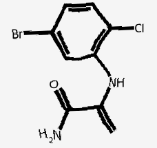 C=C(Nc1cc(Br)ccc1Cl)C(N)=O